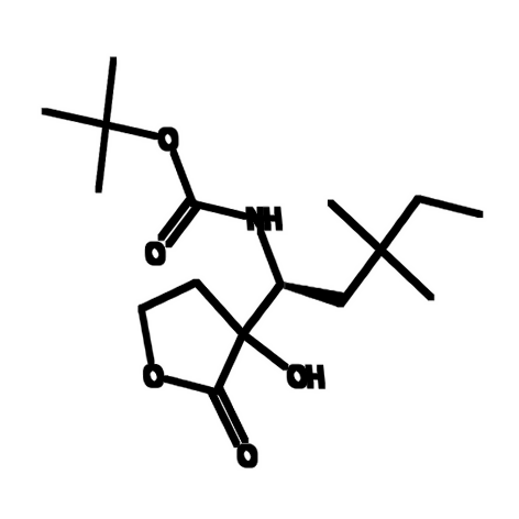 CCC(C)(C)C[C@H](NC(=O)OC(C)(C)C)C1(O)CCOC1=O